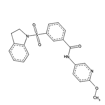 COc1ccc(NC(=O)c2cccc(S(=O)(=O)N3CCc4ccccc43)c2)cn1